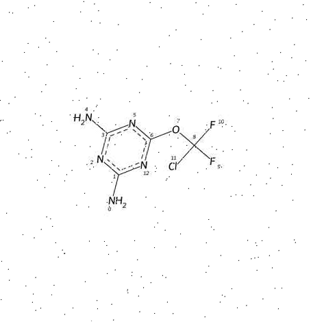 Nc1nc(N)nc(OC(F)(F)Cl)n1